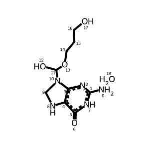 Nc1nc2c(c(=O)[nH]1)NCN2C(O)OCCCO.O